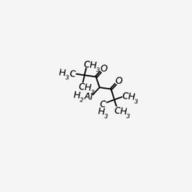 CC(C)(C)C(=O)[CH]([AlH2])C(=O)C(C)(C)C